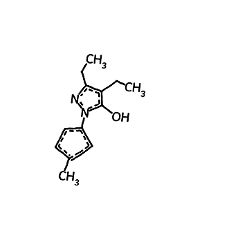 CCc1nn(-c2ccc(C)cc2)c(O)c1CC